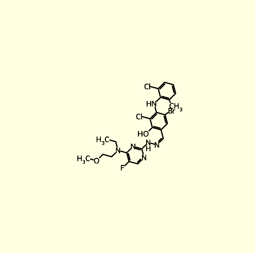 CCN(CCOC)c1nc(N/N=C\c2cc(Br)c(Nc3c(C)cccc3Cl)c(Cl)c2O)ncc1F